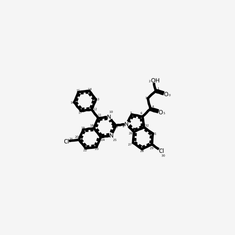 O=C(O)CC(=O)c1cn(-c2nc(-c3ccccc3)c3cc(Cl)ccc3n2)c2ccc(Cl)cc12